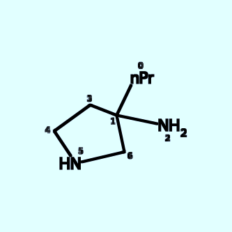 CCCC1(N)CCNC1